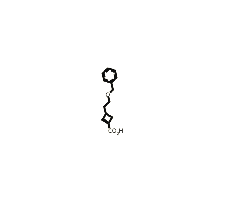 O=C(O)C1=CC(CCOCc2ccccc2)C1